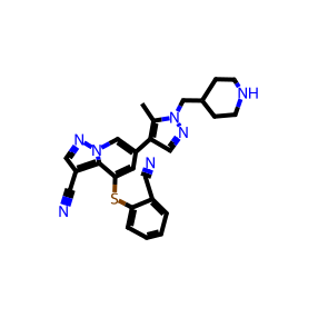 Cc1c(-c2cc(Sc3ccccc3C#N)c3c(C#N)cnn3c2)cnn1CC1CCNCC1